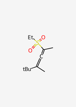 CCS(=O)(=O)C(C)=C=C(C)C(C)(C)C